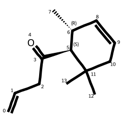 C=CCC(=O)[C@H]1[C@H](C)C=CCC1(C)C